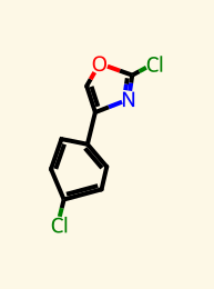 Clc1ccc(-c2coc(Cl)n2)cc1